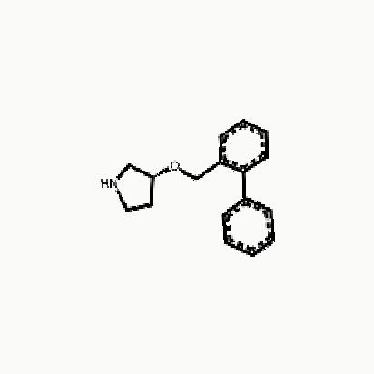 c1ccc(-c2ccccc2CO[C@H]2CCNC2)cc1